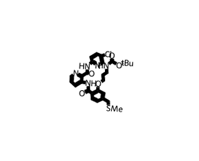 CSCc1ccc(C(=O)Nc2cccnc2C(=O)Nc2ccc(Cl)cn2)c(OCCCNC(=O)OC(C)(C)C)c1